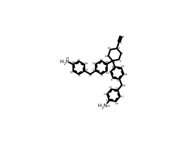 C#CC1CCC(c2ccc(Cc3ccc(N)cc3)cc2)(c2ccc(Cc3ccc(N)cc3)cc2)CC1